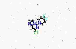 FC1(F)CCN(c2nc(Cl)cc3nccn23)CC1